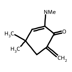 C=C1CC(C)(C)C=C(NC)C1=O